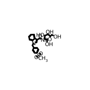 CS(=O)(=O)c1ccc(Cn2cc(C(=O)N[C@H]3C(O)OC(CO)[C@@H](O)C3O)c3ccccc32)cc1